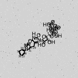 O=c1[nH]c(=O)n([C@@H]2O[C@H](COP(=O)(O)OP(=O)(O)OP(=O)(O)O)C(O)[C@@H]2O)cc1Cc1cn(-c2ccccc2)nn1